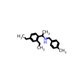 CCc1ccc(C(C)NCc2ccc(C)cc2)c(CC)c1